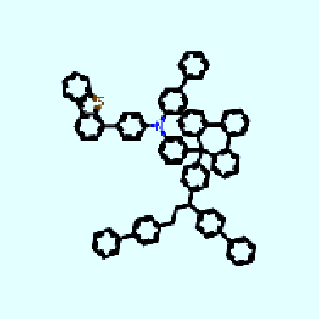 c1ccc(-c2ccc(CCC(c3ccc(-c4ccccc4)cc3)c3ccc(C4(c5cccc(N(c6ccc(-c7ccccc7)cc6)c6ccc(-c7cccc8c7sc7ccccc78)cc6)c5)c5ccccc5-c5ccccc5-c5ccccc54)cc3)cc2)cc1